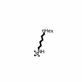 CCCCCCCCCCCCN[Si](C)(C)C